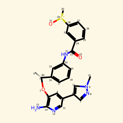 C[C@@H](Oc1cc(-c2cnn(C)c2)cnc1N)c1cccc(NC(=O)c2cccc([S+](C)[O-])c2)c1